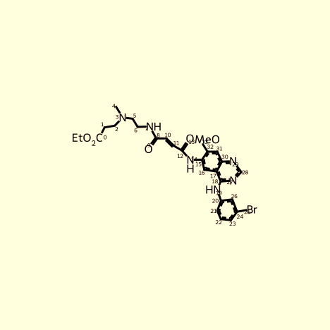 CCOC(=O)CCN(C)CCNC(=O)C=CC(=O)Nc1cc2c(Nc3cccc(Br)c3)ncnc2cc1OC